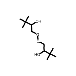 CC(C)(C)C(O)COOCC(O)C(C)(C)C